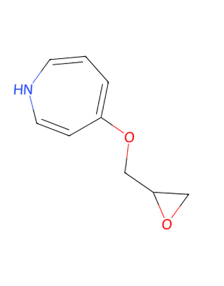 C1=CNC=CC(OCC2CO2)=C1